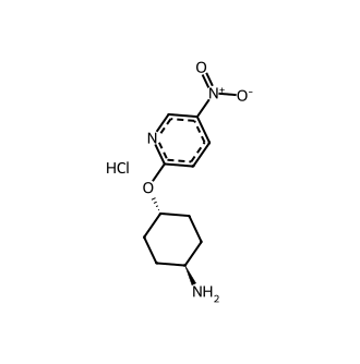 Cl.N[C@H]1CC[C@H](Oc2ccc([N+](=O)[O-])cn2)CC1